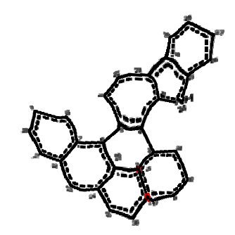 c1ccc(-c2c(-c3c4ccccc4cc4ccccc34)ccc3c2[nH]c2ccccc23)cc1